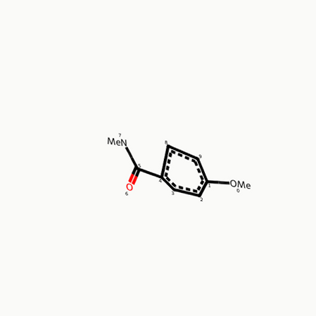 [CH2]Oc1ccc(C(=O)NC)cc1